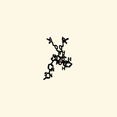 CBc1c([C@@H]2C[C@H]3CC[C@@H](C2)N3C(=O)OC(C)(C)C)nc2c(-c3ccc(-c4ncc(C)s4)nc3)cnn2c1N(COCC[Si](C)(C)C)COCC[Si](C)(C)C